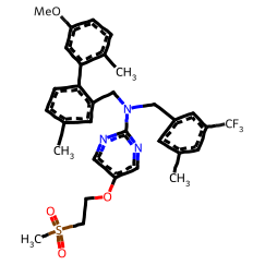 COc1ccc(C)c(-c2ccc(C)cc2CN(Cc2cc(C)cc(C(F)(F)F)c2)c2ncc(OCCS(C)(=O)=O)cn2)c1